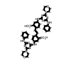 O=S(=O)(O)c1cc(Nc2nc(Nc3ccccc3)nc(N3CCOCC3)n2)ccc1/C=C/c1ccc(Nc2nc(Nc3ccccc3)nc(N3CCOCC3)n2)cc1S(=O)(=O)O